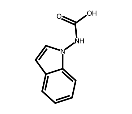 O=C(O)Nn1ccc2ccccc21